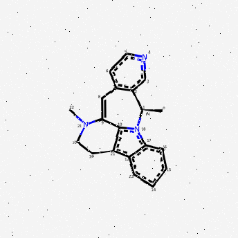 C[C@@H]1c2cnccc2C=C2c3c(c4ccccc4n31)CCN2C